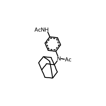 CC(=O)Nc1ccc(N(C(C)=O)C23CC4CC(CC(C4)C2)C3)cc1